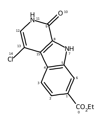 CCOC(=O)c1ccc2c(c1)[nH]c1c(=O)[nH]cc(Cl)c12